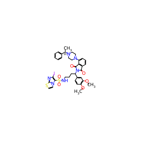 COc1ccc(C(CCCNS(=O)(=O)c2c(I)nc3sccn23)N2C(=O)c3cccc(N4CCN([C@H](C)c5ccccc5)CC4)c3C2=O)cc1OC